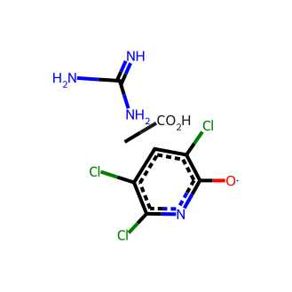 CC(=O)O.N=C(N)N.[O]c1nc(Cl)c(Cl)cc1Cl